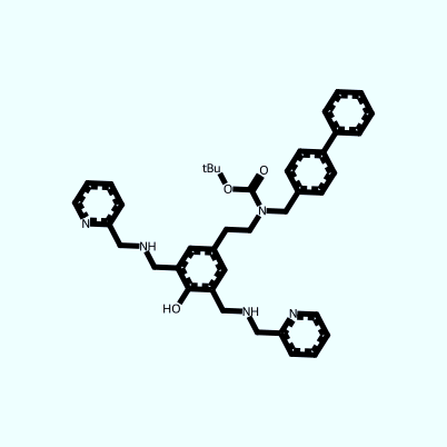 CC(C)(C)OC(=O)N(CCc1cc(CNCc2ccccn2)c(O)c(CNCc2ccccn2)c1)Cc1ccc(-c2ccccc2)cc1